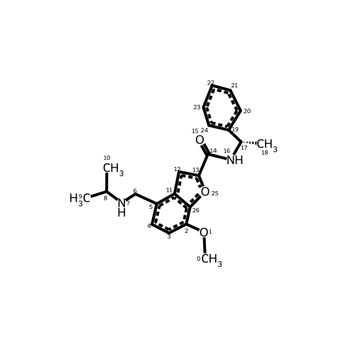 COc1ccc(CNC(C)C)c2cc(C(=O)N[C@@H](C)c3ccccc3)oc12